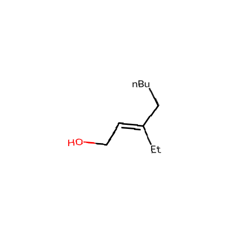 CCCCCC(=CCO)CC